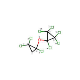 ClC1(Cl)CC1(Cl)OC1(Cl)C(Cl)(Cl)C1(Cl)Cl